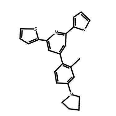 Cc1cc(N2CCCC2)ccc1-c1cc(-c2cccs2)nc(-c2cccs2)c1